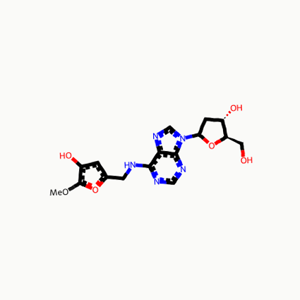 COc1oc(CNc2ncnc3c2ncn3C2C[C@H](O)[C@@H](CO)O2)cc1O